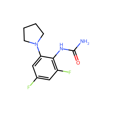 NC(=O)Nc1c(F)cc(F)cc1N1CCCC1